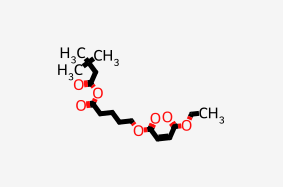 CCOC(=O)/C=C\C(=O)OCCCCC(=O)OC(=O)CC(C)(C)C